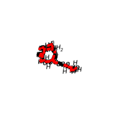 CC(C)C[C@H]1NC(=O)[C@@H](C)NC(=O)[C@@H](NC(=O)COCCOCCOCCNC(=O)CCCC[C@H]2SC[C@H]3NC(=O)N[C@H]32)Cc2cn(nn2)CCCC[C@@H](C(N)=O)NC(=O)[C@H](Cc2ccc(F)cc2)NC(=O)[C@H](Cc2cn(C)c3ccccc23)NC(=O)[C@@H](Cc2ccccc2)NC1=O